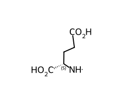 [NH][C@@H](CCC(=O)O)C(=O)O